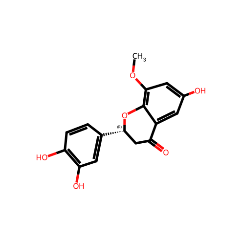 COc1cc(O)cc2c1O[C@@H](c1ccc(O)c(O)c1)CC2=O